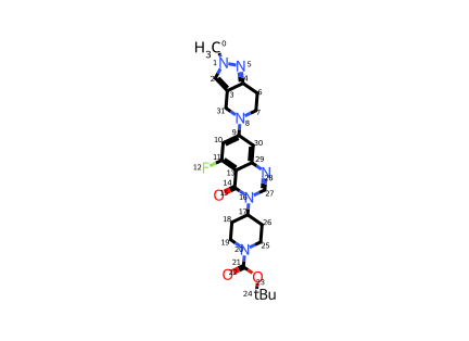 Cn1cc2c(n1)CCN(c1cc(F)c3c(=O)n(C4CCN(C(=O)OC(C)(C)C)CC4)cnc3c1)C2